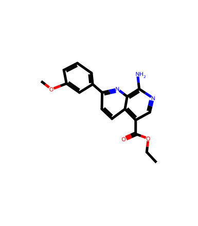 CCOC(=O)c1cnc(N)c2nc(-c3cccc(OC)c3)ccc12